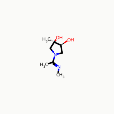 C/N=C(\C)N1C[C@H](O)[C@](C)(O)C1